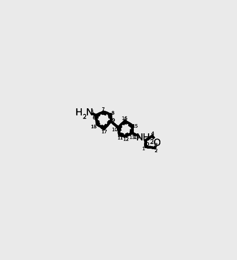 C1CCOC1.Nc1ccc(-c2ccc(N)cc2)cc1